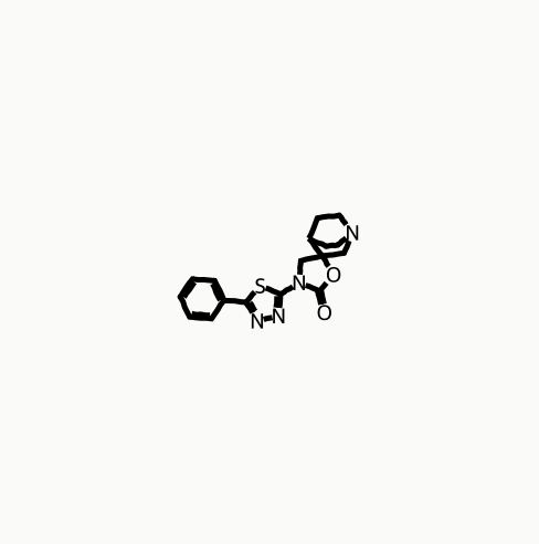 O=C1OC2(CN3CCC2CC3)CN1c1nnc(-c2ccccc2)s1